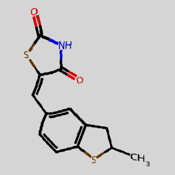 CC1Cc2cc(C=C3SC(=O)NC3=O)ccc2S1